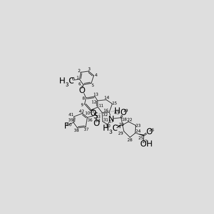 Cc1ccccc1Oc1ccc2c(c1)CC[C@H]1N(C(=O)[C@]3(C)CC[C@@H](C(=O)O)CC3)CC[C@@]21S(=O)(=O)c1ccc(F)cc1